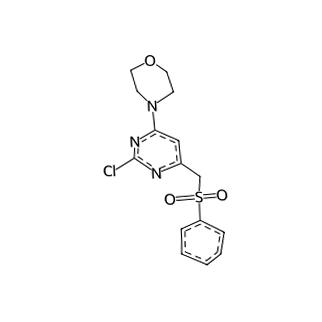 O=S(=O)(Cc1cc(N2CCOCC2)nc(Cl)n1)c1ccccc1